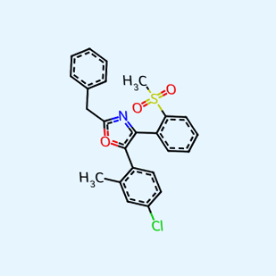 Cc1cc(Cl)ccc1-c1oc(Cc2ccccc2)nc1-c1ccccc1S(C)(=O)=O